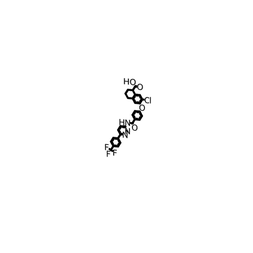 O=C(Nc1ccc(-c2ccc(C(F)(F)F)cc2)nn1)c1ccc(Oc2cc3c(cc2Cl)C(C(=O)O)CCC3)cc1